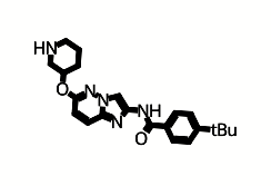 CC(C)(C)c1ccc(C(=O)Nc2cn3nc(OC4CCCNC4)ccc3n2)cc1